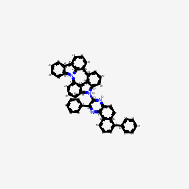 c1ccc(-c2nc3c(ccc4c(-c5ccccc5)cccc43)nc2-n2c3cccc4c5cccc6c7ccccc7n(c7cccc2c7c43)c56)cc1